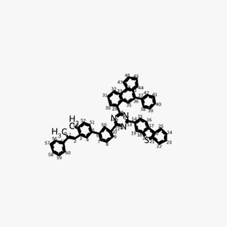 C/C(=C\c1cc(-c2cccc(-c3nc(-c4ccc5c(c4)sc4ccccc45)nc(-c4cccc5c4cc(-c4ccccc4)c4ccccc45)n3)c2)ccc1C)c1ccccc1